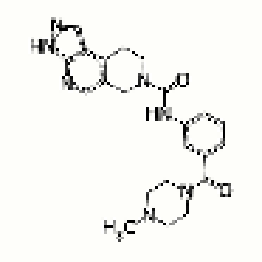 CN1CCN(C(=O)c2cccc(NC(=O)N3CCc4c(cnc5[nH]ncc45)C3)c2)CC1